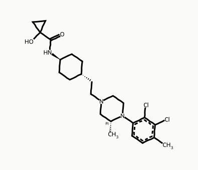 Cc1ccc(N2CCN(CC[C@H]3CC[C@H](NC(=O)C4(O)CC4)CC3)C[C@H]2C)c(Cl)c1Cl